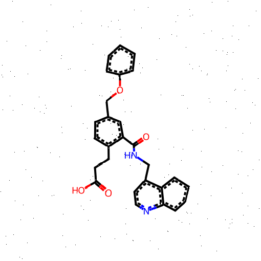 O=C(O)CCc1ccc(COc2ccccc2)cc1C(=O)NCc1ccnc2ccccc12